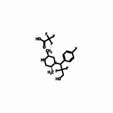 C[C@@H]1CN[C@@H](C)CN1C(c1ccc(F)cc1)C(F)(F)CO.O=C(O)C(F)(F)F